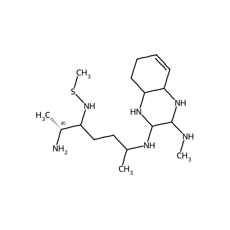 CNC1NC2C=CCCC2NC1NC(C)CCC(NSC)[C@@H](C)N